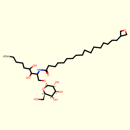 CCCCCCCCCCCCCCC(O)C(O)C(CO[C@H]1O[C@H](CO)[C@H](O)[C@H](O)[C@H]1O)NC(=O)CCCCCCCCCCCCCCCCC1COC1